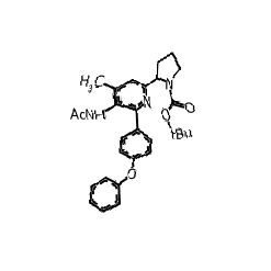 CC(=O)Nc1c(C)cc(C2CCCN2C(=O)OC(C)(C)C)nc1-c1ccc(Oc2ccccc2)cc1